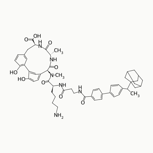 CC(c1ccc(-c2ccc(C(=O)NCCC(=O)N[C@@H](CCCCN)C(=O)N(C)[C@@H]3C(=O)N[C@@H](C)C(=O)N[C@H](C(=O)O)Cc4ccc(O)c(c4)-c4cc3ccc4O)cc2)cc1)C12CC3CC(CC(C3)C1)C2